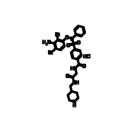 CCc1ccc(ON(c2ccccc2)S(=O)(=O)c2ccc(C(=O)NCC(=O)NCC3CCNCC3)cc2)c(CC)c1N.Cl